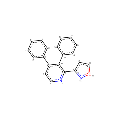 c1ccc(-c2ccnc(-c3ccon3)c2-c2ccccc2)cc1